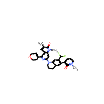 Cc1cc2c(C3=CCOCC3)nc(N3CCCc4cc(-c5cccn(C)c5=O)c(C(F)F)cc43)cc2n(C)c1=O